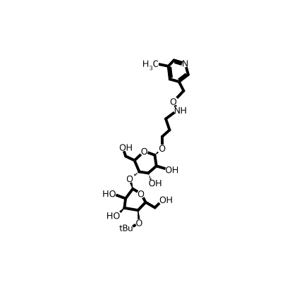 Cc1cncc(CONCCCO[C@H]2OC(CO)[C@@H](O[C@H]3OC(CO)[C@@H](OC(C)(C)C)[C@@H](O)C3O)[C@@H](O)C2O)c1